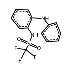 O=S(=O)(Nc1ccccc1Nc1ccccc1)C(F)(F)F